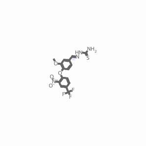 COc1cc(/C=N/NC(N)=S)ccc1Oc1ccc(C(F)(F)F)cc1[N+](=O)[O-]